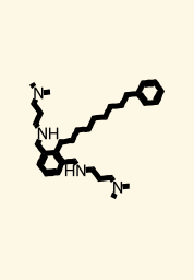 CN(C)CCCNCc1cccc(CNCCCN(C)C)c1CCCCCCCCCc1ccccc1